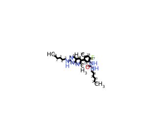 C#CCCCCNc1ncc2cc(-c3cc(NC(=O)NCCCCCC)c(F)cc3C)c(C)nc2n1